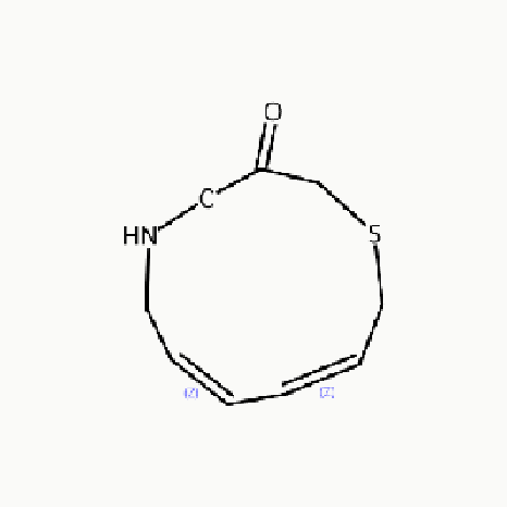 O=C1CNC/C=C\C=C/CSC1